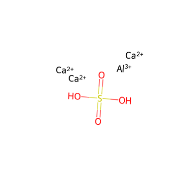 O=S(=O)(O)O.[Al+3].[Ca+2].[Ca+2].[Ca+2]